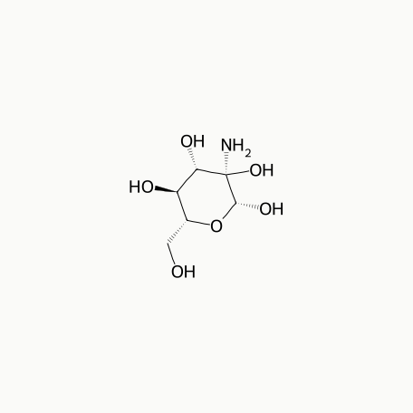 N[C@]1(O)[C@H](O)O[C@H](CO)[C@@H](O)[C@@H]1O